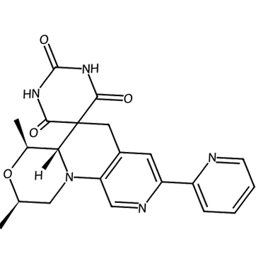 C[C@@H]1CN2c3cnc(-c4ccccn4)cc3CC3(C(=O)NC(=O)NC3=O)[C@H]2[C@H](C)O1